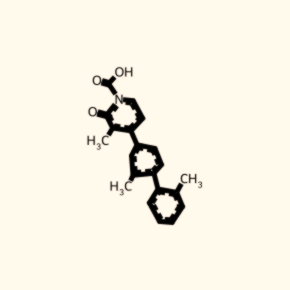 Cc1ccccc1-c1ccc(-c2ccn(C(=O)O)c(=O)c2C)cc1C